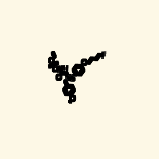 CCOC(C)(C)ONC(=O)CN(Cc1ccc(OC)cc1)Sc1ccc(OCCCCF)cc1